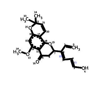 C=C/C(=C\C=C\O)C1CC(=O)c2c(OC)cc3c(c2O1)C=CC(C)(C)O3